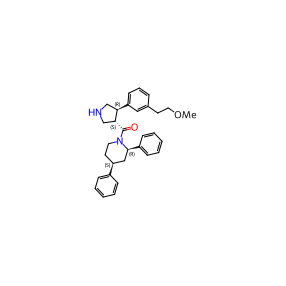 COCCc1cccc([C@@H]2CNC[C@H]2C(=O)N2CC[C@H](c3ccccc3)C[C@@H]2c2ccccc2)c1